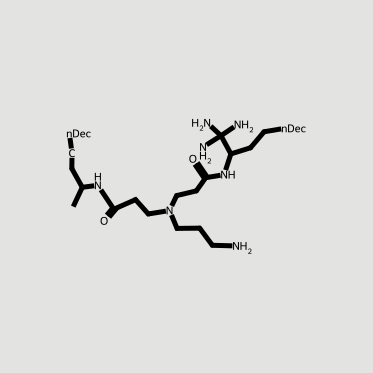 CCCCCCCCCCCCC(C)NC(=O)CCN(CCCN)CCC(=O)NC(CCCCCCCCCCCC)C(N)(N)N